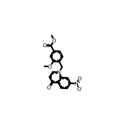 COC(=O)c1ccc(Cn2ccc(=O)c3ccc([N+](=O)[O-])cc32)c(OC)c1